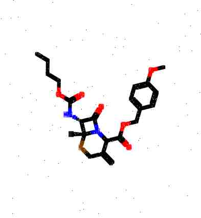 C=C1CS[C@@H]2[C@H](NC(=O)OCCCC)C(=O)N2C1C(=O)OCc1ccc(OC)cc1